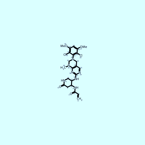 C=CC(=O)NC1CC(=O)NCC1Nc1ncc2c(n1)N(C)CN(c1c(Cl)c(OC)cc(OC)c1Cl)C2